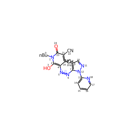 CCCCn1c(O)c(/N=N\c2c(C#N)cnn2-c2ccccn2)c(C)c(C#N)c1=O